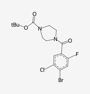 CC(C)(C)OC(=O)N1CCN(C(=O)c2cc(Cl)c(Br)cc2F)CC1